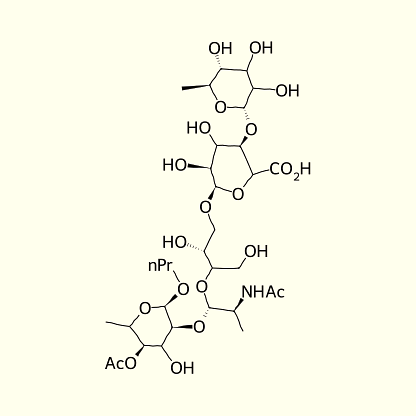 CCCO[C@@H]1OC(C)[C@H](OC(C)=O)C(O)[C@@H]1O[C@H](OC(CO)[C@H](O)CO[C@@H]1OC(C(=O)O)[C@H](O[C@@H]2O[C@@H](C)[C@H](O)C(O)C2O)C(O)[C@@H]1O)[C@H](C)NC(C)=O